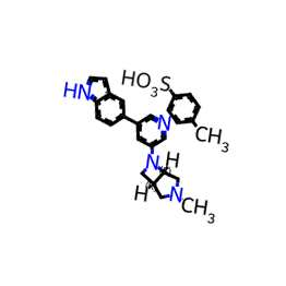 CN1C[C@@H]2CN(c3cncc(-c4ccc5[nH]ccc5c4)c3)[C@@H]2C1.Cc1ccc(S(=O)(=O)O)cc1